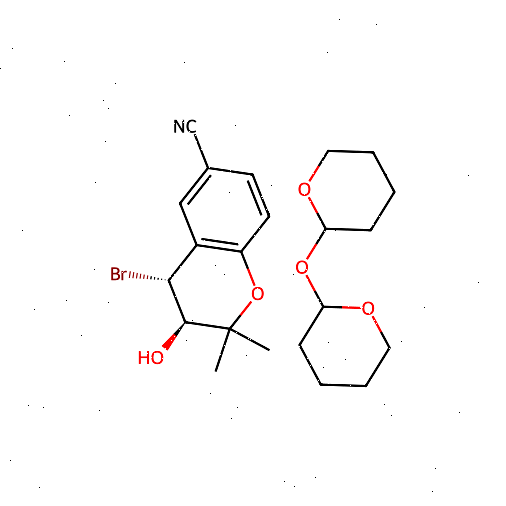 C1CCC(OC2CCCCO2)OC1.CC1(C)Oc2ccc(C#N)cc2[C@@H](Br)[C@@H]1O